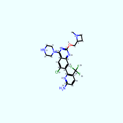 CN1CCC1COc1nc(N2CCNCC2)c2cc(Cl)c(-c3nc(N)ccc3C(F)(F)F)cc2n1